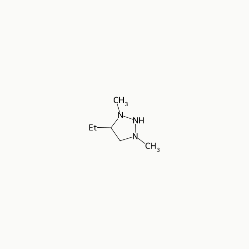 CCC1CN(C)NN1C